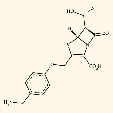 C[C@@H](O)[C@H]1C(=O)N2C(C(=O)O)=C(COc3ccc(CN)cc3)S[C@H]12